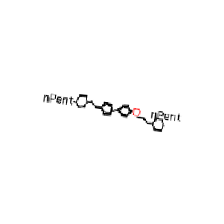 CCCCCC1CCC(CCc2ccc(-c3ccc(OCCCC4CCCCC4CCCCC)cc3)cc2)CC1